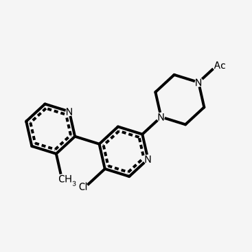 CC(=O)N1CCN(c2cc(-c3ncccc3C)c(Cl)cn2)CC1